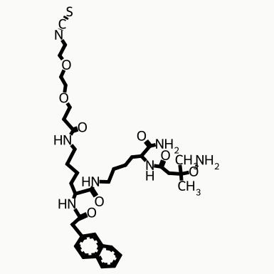 CC(C)(CC(=O)NC(CCCCNC(=O)C(CCCCNC(=O)CCOCCOCCN=C=S)NC(=O)Cc1ccc2ccccc2c1)C(N)=O)ON